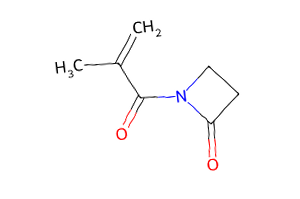 C=C(C)C(=O)N1CCC1=O